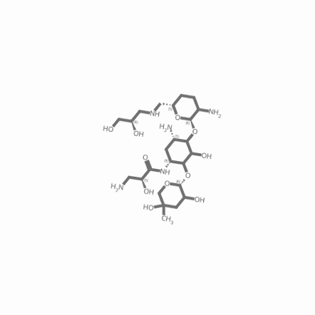 CC1(O)CO[C@H](OC2C(O)C(O[C@H]3O[C@H](CNC[C@@H](O)CO)CCC3N)[C@@H](N)C[C@H]2NC(=O)[C@@H](O)CN)C(O)C1